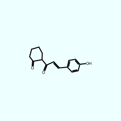 O=C(C=Cc1ccc(O)cc1)C1CCCCC1=O